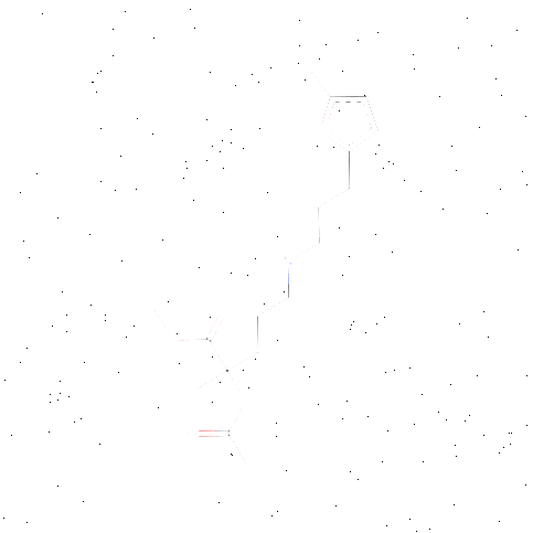 COC(=O)C(C)(CCCNCCCc1ccc(C)o1)OC(C)=O